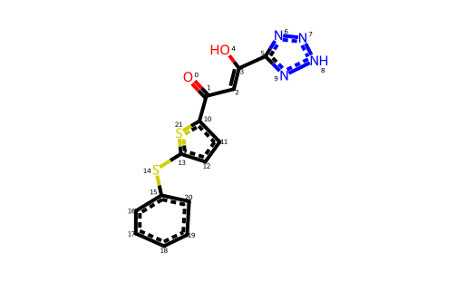 O=C(C=C(O)c1nn[nH]n1)c1ccc(Sc2ccccc2)s1